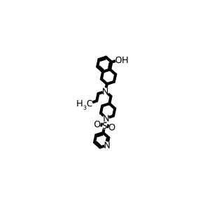 CCCN(CC1CCN(S(=O)(=O)c2cccnc2)CC1)C1CCc2c(O)cccc2C1